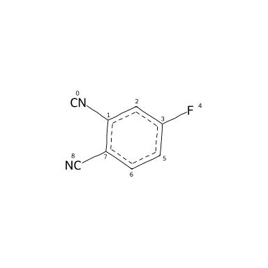 [C-]#[N+]c1cc(F)ccc1C#N